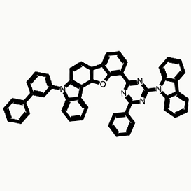 C1=CC2c3cccc(-c4nc(-c5ccccc5)nc(-n5c6ccccc6c6ccccc65)n4)c3OC2c2c1n(-c1cccc(-c3ccccc3)c1)c1ccccc21